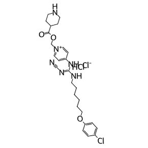 Cl.N#CN=C(NCCCCCCOc1ccc(Cl)cc1)Nc1cc[n+](COC(=O)C2CCNCC2)cc1.[Cl-]